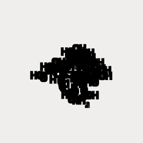 CC(=O)N[C@H]1C(O)[C@H](O)C(CO)O[C@H]1O[C@@H]1c2ccc(c(Cl)c2)Oc2cc3cc(c2O[C@@H]2OC(CO)[C@@H](O)[C@H](O)C2NC(=O)CCC(=O)O)Oc2ccc(cc2Cl)C[C@H]2NC(=O)[C@H](N)c4ccc(O)c(c4)Oc4cc(O)cc(c4)[C@H](NC2=O)C(=O)N[C@H]3C(=O)N[C@H]2C(=O)N[C@@H]1C(=O)N[C@H](C(=O)O)c1cc(O)cc(O[C@H]3OC(CO)[C@@H](O)[C@@H](O)C3O)c1-c1cc2ccc1O